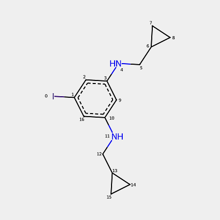 Ic1cc(NCC2CC2)cc(NCC2CC2)c1